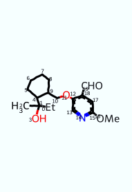 CCC(C)(O)C1CCCCC1COc1cnc(OC)cc1C=O